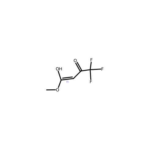 CO/C(O)=C/C(=O)C(F)(F)F